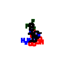 CC1[C@H](O)[C@]2(CC[C@H](C)N3C[C@H]2n2cc(C(N)=O)c(=O)c(O)c2C3=O)ON1Cc1c(F)cc(F)cc1F